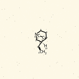 C=C[C@H]1CN2CCC1CC2